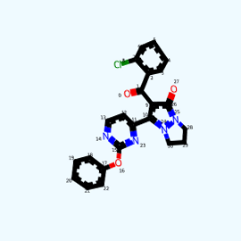 O=C(c1ccccc1Cl)c1c(-c2ccnc(Oc3ccccc3)n2)n2n(c1=O)CCC2